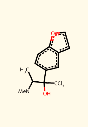 CNC(C)C(O)(c1ccc2occc2c1)C(Cl)(Cl)Cl